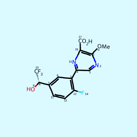 COc1ncc(-c2cc([C@H](O)C(F)(F)F)ccc2F)nc1C(=O)O